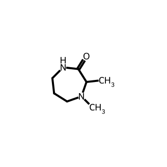 CC1C(=O)NCCCN1C